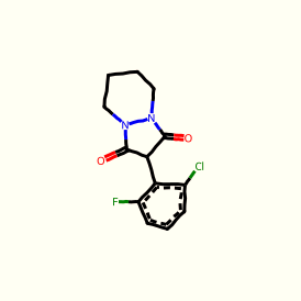 O=C1C(c2c(F)cccc2Cl)C(=O)N2CCCCN12